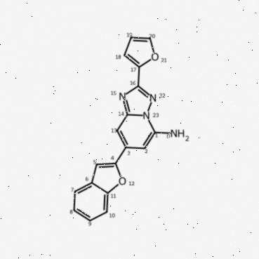 Nc1cc(-c2cc3ccccc3o2)cc2nc(-c3ccco3)nn12